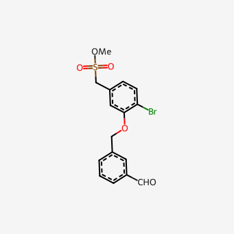 COS(=O)(=O)Cc1ccc(Br)c(OCc2cccc(C=O)c2)c1